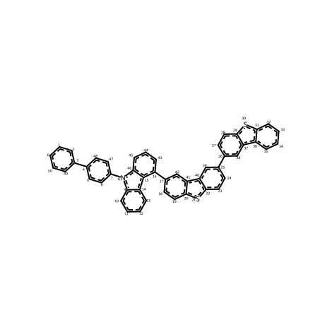 c1ccc(-c2ccc(-n3c4ccccc4c4c(-c5ccc6sc7ccc(-c8ccc9sc%10ccccc%10c9c8)cc7c6c5)cccc43)cc2)cc1